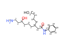 NCCC(O)CCCC(CCCC(=O)O)CC(=O)Nc1ccccc1